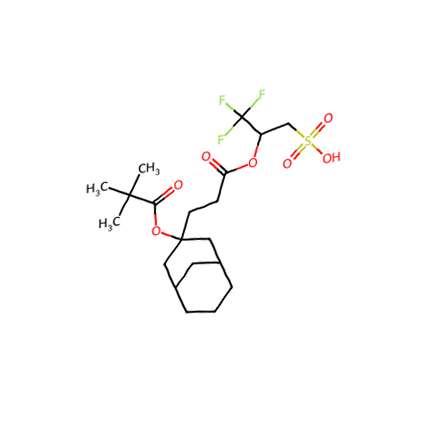 CC(C)(C)C(=O)OC1(CCC(=O)OC(CS(=O)(=O)O)C(F)(F)F)CC2CCCC(C2)C1